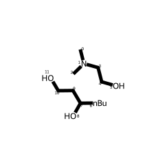 CN(C)CCO.[CH2]CCCC(O)CCO